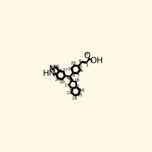 O=C(O)C=Cc1ccc(C(=C2Cc3ccccc3C2)c2ccc3[nH]ncc3c2)cc1